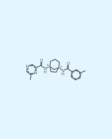 Cc1cccc(C(=O)N[C@@]23CCC[C@@](NC(=O)c4cncc(C)n4)(CC2)C3)c1